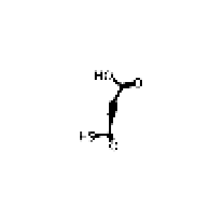 O=C(O)C#CC(=O)S